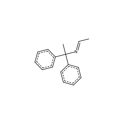 CC=NC(C)(c1ccccc1)c1ccccc1